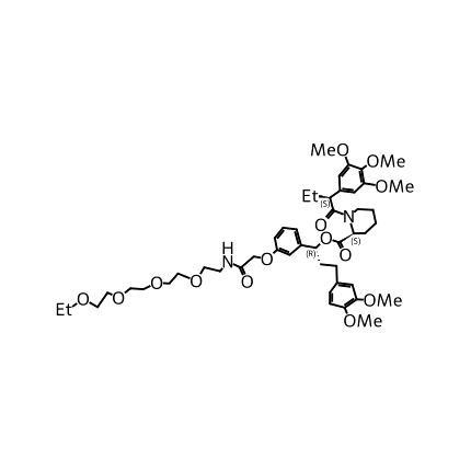 CCOCCOCCOCCOCCNC(=O)COc1cccc([C@@H](CCc2ccc(OC)c(OC)c2)OC(=O)[C@@H]2CCCCN2C(=O)[C@@H](CC)c2cc(OC)c(OC)c(OC)c2)c1